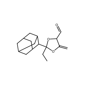 C=C1OC(CC)(C2C3CC4CC(C3)CC2C4)OC1C=O